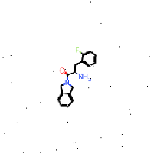 N[C@H](Cc1ccccc1F)C(=O)N1Cc2ccccc2C1